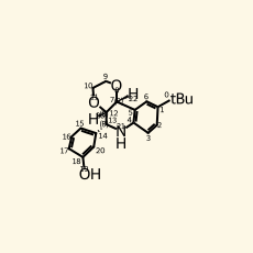 CC(C)(C)c1ccc2c(c1)[C@H]1OCCO[C@H]1[C@@H](c1cccc(O)c1)N2